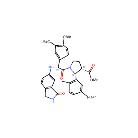 COC(=O)[C@H]1CCN(C(=O)[C@H](Nc2ccc3c(c2)C(=O)NC3)c2ccc(OC)c(OC)c2)[C@H]1c1cc(NC(C)=O)ccc1C